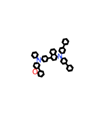 c1ccc(-c2ccc(N(c3ccc(-c4ccccc4)cc3)c3ccc(-c4ccc(N(c5ccccc5)c5ccc6oc7ccccc7c6c5)cc4)c4ccccc34)cc2)cc1